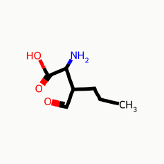 CCCC(C=O)C(N)C(=O)O